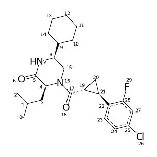 CC(C)C[C@H]1C(=O)N[C@@H](C2CCCCC2)CN1C(=O)[C@@H]1C[C@H]1c1ccc(Cl)cc1F